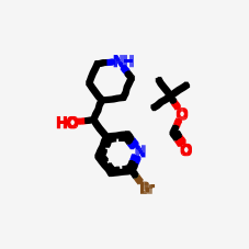 CC(C)(C)OC=O.OC(c1ccc(Br)nc1)C1CCNCC1